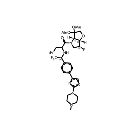 COC1(OC)CO[C@H]2[C@@H]1N(C(=O)C(CC(C)C)N[C@@H](c1ccc(-c3csc(N4CCN(C)CC4)n3)cc1)C(F)(F)F)C[C@@H]2F